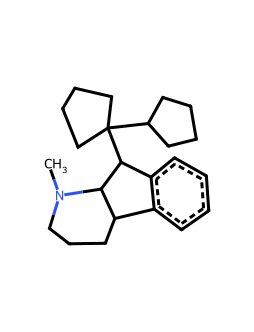 CN1CCCC2c3ccccc3C(C3(C4CCCC4)CCCC3)C21